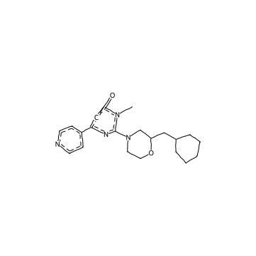 Cn1c(N2CCOC(CC3CCCCC3)C2)nc(-c2ccncc2)cc1=O